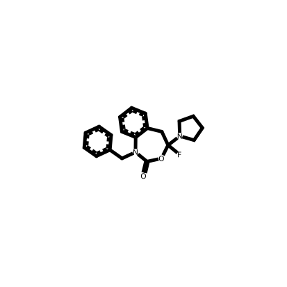 O=C1OC(F)(N2CCCC2)Cc2ccccc2N1Cc1ccccc1